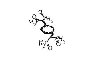 O=[PH2]C([PH2]=O)=c1ccc(=C([PH2]=O)[PH2]=O)cc1